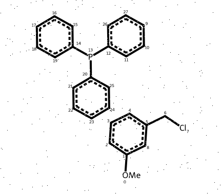 COc1cccc(CCl)c1.c1ccc(P(c2ccccc2)c2ccccc2)cc1